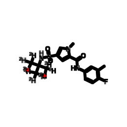 [2H]C([2H])([2H])C(NS(=O)(=O)c1cc(C(=O)Nc2ccc(F)c(C)c2)n(C)c1)(C([2H])([2H])[2H])C([2H])([2H])[2H]